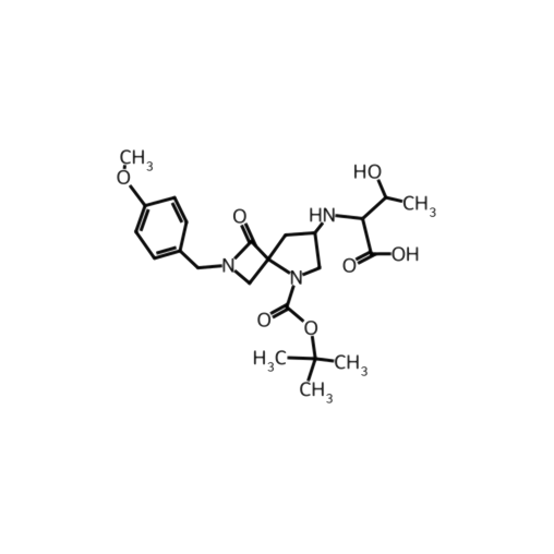 COc1ccc(CN2CC3(CC(NC(C(=O)O)C(C)O)CN3C(=O)OC(C)(C)C)C2=O)cc1